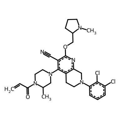 C=CC(=O)N1CCN(c2c(C#N)c(OCC3CCCN3C)nc3c2CCN(c2cccc(Cl)c2Cl)C3)CC1C